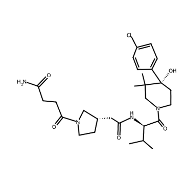 CC(C)[C@@H](NC(=O)C[C@@H]1CCN(C(=O)CCC(N)=O)C1)C(=O)N1CC[C@](O)(c2ccc(Cl)cc2)C(C)(C)C1